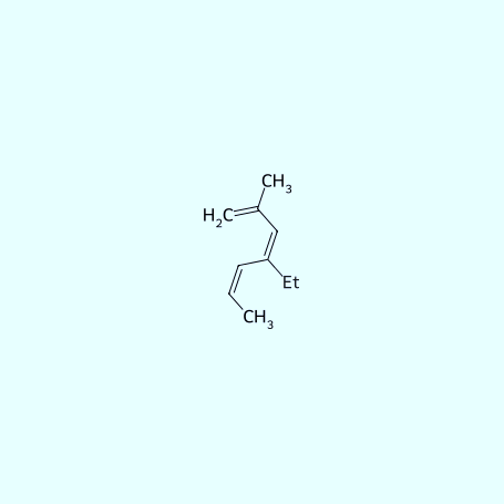 C=C(C)/C=C(\C=C/C)CC